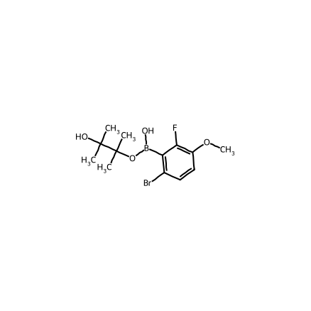 COc1ccc(Br)c(B(O)OC(C)(C)C(C)(C)O)c1F